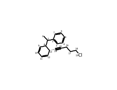 CC(c1ccccc1)C1C=CC=C[C@H]1C#CCCCCl